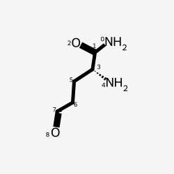 NC(=O)[C@H](N)CC[C]=O